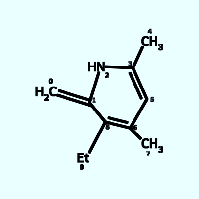 C=C1NC(C)=CC(C)=C1CC